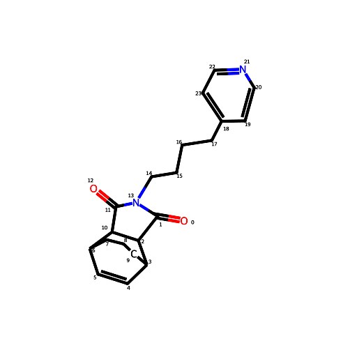 O=C1C2C3C=CC(CCC3)C2C(=O)N1CCCCc1ccncc1